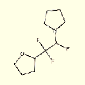 FC(N1CCCC1)C(F)(F)C1CCCO1